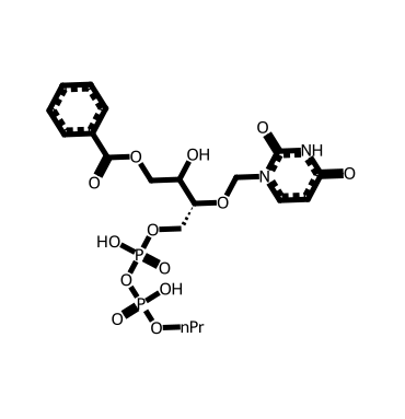 CCCOP(=O)(O)OP(=O)(O)OC[C@@H](OCn1ccc(=O)[nH]c1=O)C(O)COC(=O)c1ccccc1